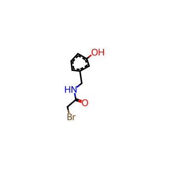 O=C(CBr)NCc1cccc(O)c1